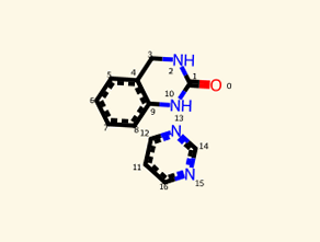 O=C1NCc2ccccc2N1.c1cncnc1